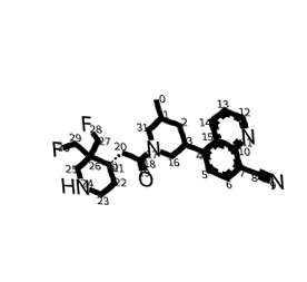 CC1CC(c2ccc(C#N)c3ncccc23)CN(C(=O)C[C@@H]2CCNCC2(CF)CF)C1